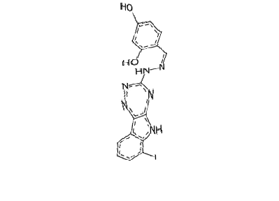 Oc1ccc(/C=N\Nc2nnc3c(n2)[nH]c2c(I)cccc23)c(O)c1